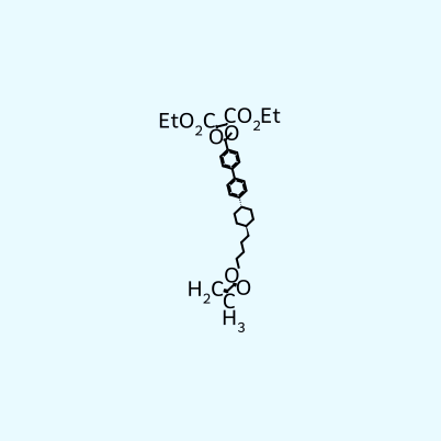 C=C(C)C(=O)OCCCCC[C@H]1CC[C@H](c2ccc(-c3ccc(C4O[C@@H](C(=O)OCC)[C@H](C(=O)OCC)O4)cc3)cc2)CC1